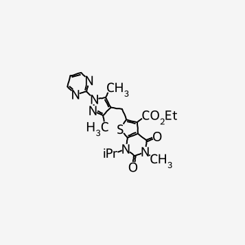 CCOC(=O)c1c(Cc2c(C)nn(-c3ncccn3)c2C)sc2c1c(=O)n(C)c(=O)n2C(C)C